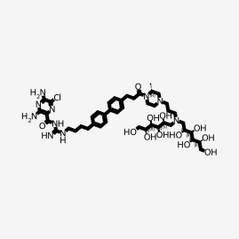 C[C@@H]1CN(CCCN(C[C@H](O)[C@@H](O)[C@H](O)[C@H](O)CO)C[C@H](O)[C@@H](O)[C@H](O)[C@H](O)CO)CCN1C(=O)CCc1ccc(-c2ccc(CCCCNC(=N)NC(=O)c3nc(Cl)c(N)nc3N)cc2)cc1